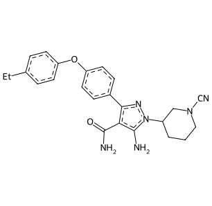 CCc1ccc(Oc2ccc(-c3nn(C4CCCN(C#N)C4)c(N)c3C(N)=O)cc2)cc1